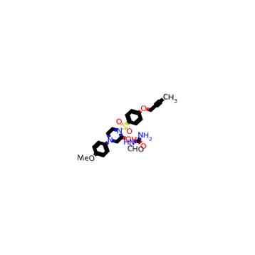 CC#CCOc1ccc(S(=O)(=O)N2CCN(c3ccc(OC)cc3)CC2O)cc1.NC(=O)NC=O